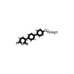 CCCCCCCOc1ccc(-c2ccc(-c3ccc(F)nc3F)cc2)cc1